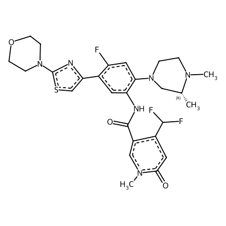 C[C@@H]1CN(c2cc(F)c(-c3csc(N4CCOCC4)n3)cc2NC(=O)c2cn(C)c(=O)cc2C(F)F)CCN1C